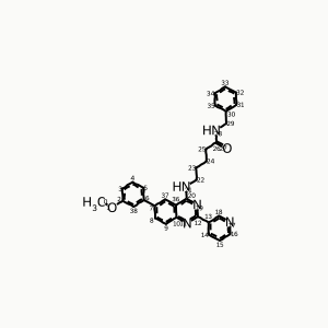 COc1cccc(-c2ccc3nc(-c4cccnc4)nc(NCCCCC(=O)NCc4ccccc4)c3c2)c1